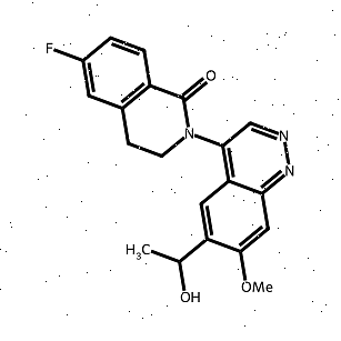 COc1cc2nncc(N3CCc4cc(F)ccc4C3=O)c2cc1C(C)O